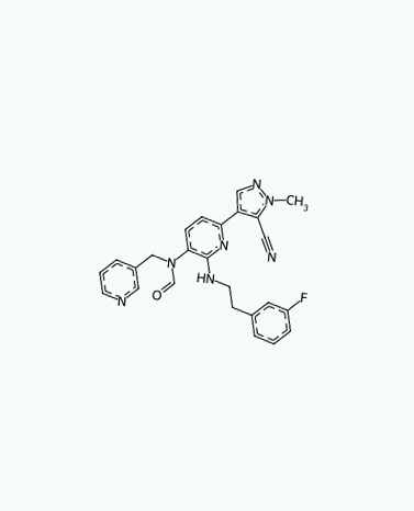 Cn1ncc(-c2ccc(N(C=O)Cc3cccnc3)c(NCCc3cccc(F)c3)n2)c1C#N